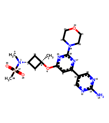 CN([C@H]1C[C@](C)(Oc2cc(-c3cnc(N)nc3)nc(N3CCOCC3)n2)C1)S(C)(=O)=O